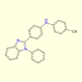 N#Cc1ccc(Nc2ccc(-c3nc4ccccc4n3-c3ccccc3)cc2)cc1